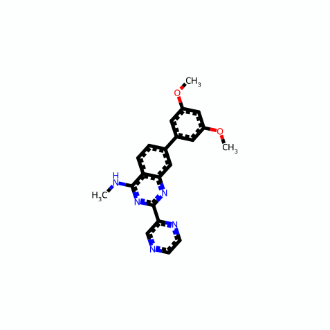 CNc1nc(-c2cnccn2)nc2cc(-c3cc(OC)cc(OC)c3)ccc12